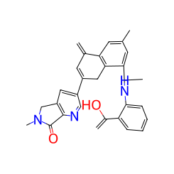 C=C(O)c1ccccc1NC(C)c1cc(C)cc2c1CC(c1cnc3c(c1)CN(C)C3=O)=CC2=C